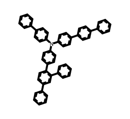 c1ccc(-c2ccc(-c3ccc(N(c4ccc(-c5ccccc5)cc4)c4ccc(-c5ccc(-c6ccccc6)cc5-c5ccccc5)cc4)cc3)cc2)cc1